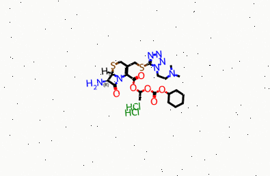 CC(OC(=O)OC1CCCCC1)OC(=O)C1=C(CSc2nnnn2CCN(C)C)CS[C@H]2[C@H](N)C(=O)N12.Cl.Cl